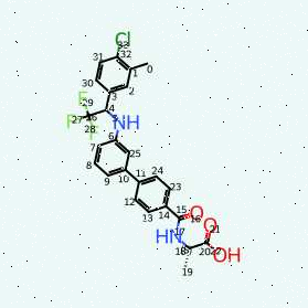 Cc1cc(C(Nc2cccc(-c3ccc(C(=O)N[C@@H](C)C(=O)O)cc3)c2)C(F)(F)F)ccc1Cl